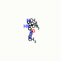 Cc1cc(-c2[nH]c3ccc(C(=O)N4CC5CN(C)CC5C4)cc3c2C(C)C)ccn1